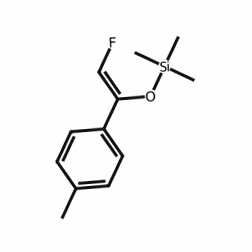 Cc1ccc(/C(=C/F)O[Si](C)(C)C)cc1